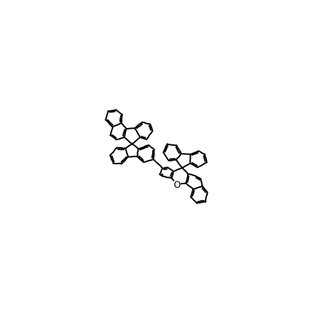 c1ccc2c(c1)-c1ccccc1C21c2cc(-c3ccc4c(c3)-c3ccccc3C43c4ccccc4-c4c3ccc3ccccc43)ccc2Oc2c1ccc1ccccc21